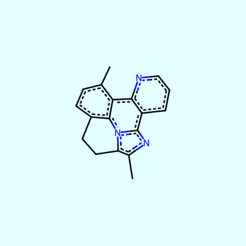 Cc1nc2c3cccnc3c3c(C)ccc4c3n2c1CC4